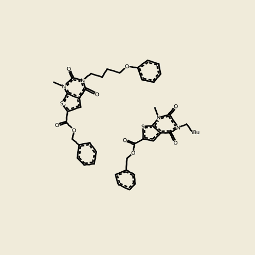 CCC(C)Cn1c(=O)c2cc(C(=O)OCc3ccccc3)sc2n(C)c1=O.Cn1c(=O)n(CCCCOc2ccccc2)c(=O)c2cc(C(=O)OCc3ccccc3)sc21